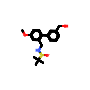 COc1ccc(-c2cccc(CO)c2)c(CN[S+]([O-])C(C)(C)C)c1